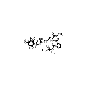 COC(=O)[C@H](CCCNC(=N)NS(=O)(=O)c1c(C)cc(OC)cc1C)NC(=O)[C@@H]1CCCN1C(=O)OC(C)(C)C